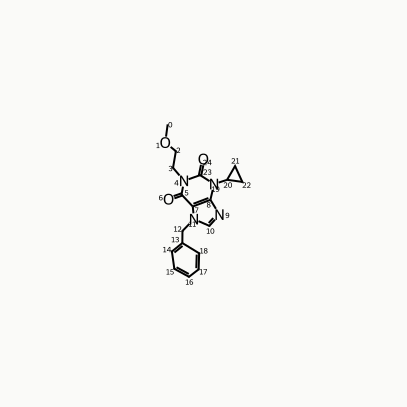 COCCn1c(=O)c2c(ncn2Cc2ccccc2)n(C2CC2)c1=O